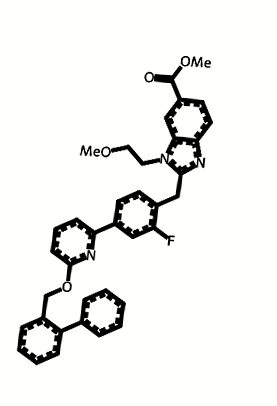 COCCn1c(Cc2ccc(-c3cccc(OCc4ccccc4-c4ccccc4)n3)cc2F)nc2ccc(C(=O)OC)cc21